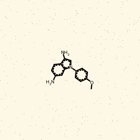 COc1ccc(-n2cc(N)c3ccc(N)cc32)cc1